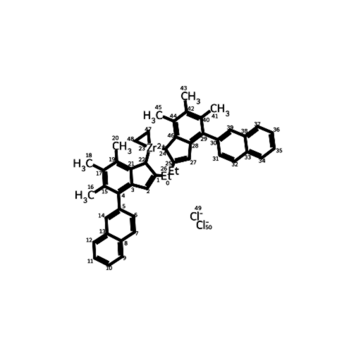 CCC1=Cc2c(-c3ccc4ccccc4c3)c(C)c(C)c(C)c2[CH]1[Zr+2]1([CH]2C(CC)=Cc3c(-c4ccc5ccccc5c4)c(C)c(C)c(C)c32)[CH2][CH2]1.[Cl-].[Cl-]